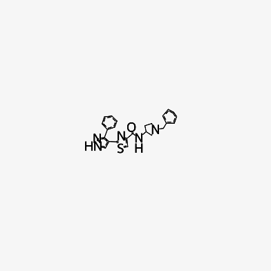 O=C(NC1CCN(Cc2ccccc2)C1)c1csc(-c2c[nH]nc2-c2ccccc2)n1